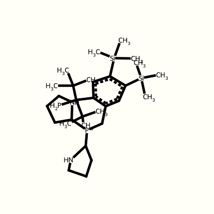 CC(C)(C)C(P)(c1cc([Si](C)(C)C)c([Si](C)(C)C)cc1CP(C1CCCN1)C1CCCN1)C(C)(C)C